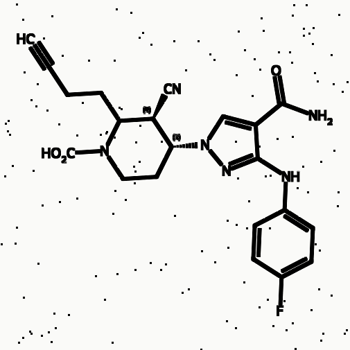 C#CCCC1[C@@H](C#N)[C@H](n2cc(C(N)=O)c(Nc3ccc(F)cc3)n2)CCN1C(=O)O